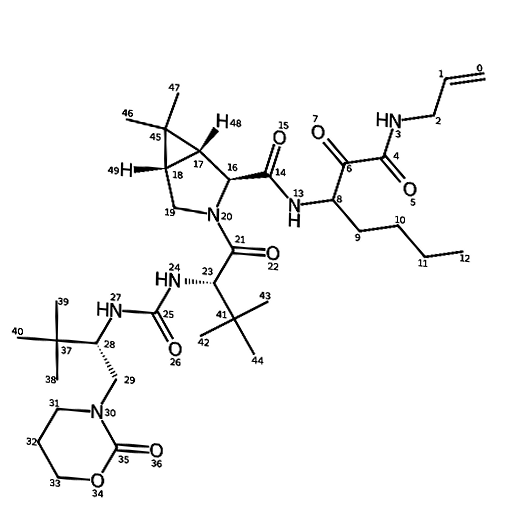 C=CCNC(=O)C(=O)C(CCCC)NC(=O)[C@@H]1[C@@H]2[C@H](CN1C(=O)[C@@H](NC(=O)N[C@H](CN1CCCOC1=O)C(C)(C)C)C(C)(C)C)C2(C)C